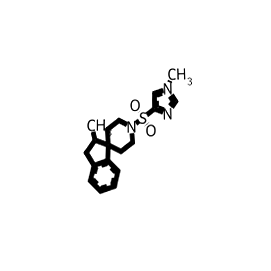 CC1Cc2ccccc2C12CCN(S(=O)(=O)c1cn(C)cn1)CC2